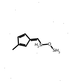 CC1=CC(=C[SiH2]O[SiH3])C=C1